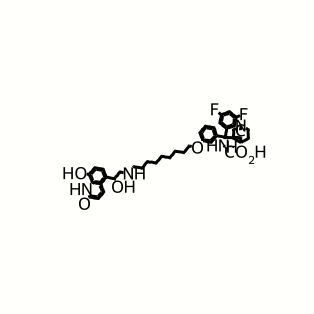 O=C(O)NC(c1cc(F)cc(F)c1)(c1cccc(OCCCCCCCCCNC[C@H](O)c2ccc(O)c3[nH]c(=O)ccc23)c1)[C@H]1CN2CCC1CC2